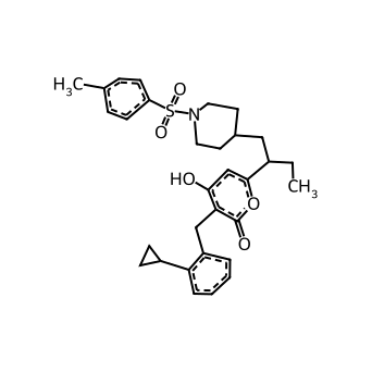 CCC(CC1CCN(S(=O)(=O)c2ccc(C)cc2)CC1)c1cc(O)c(Cc2ccccc2C2CC2)c(=O)o1